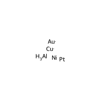 [AlH3].[Au].[Cu].[Ni].[Pt]